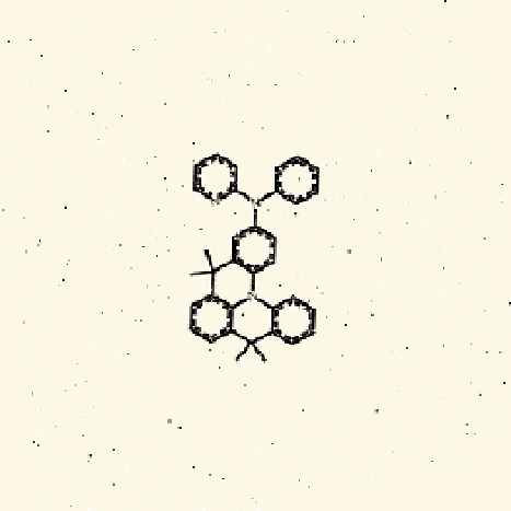 CC1(C)c2ccccc2N2c3ccc(N(c4ccccc4)c4ccccn4)cc3C(C)(C)c3cccc1c32